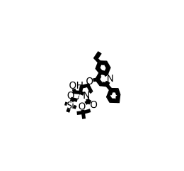 C=Cc1ccc2nc(-c3ccccc3)cc(O[C@H]3CN(C(=O)OC(C)(C)C)[C@@](CC[Si](C)(C)C)(C(=O)O)C3)c2c1